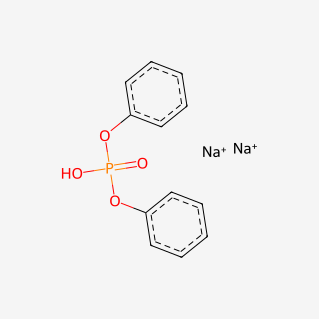 O=P(O)(Oc1ccccc1)Oc1ccccc1.[Na+].[Na+]